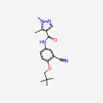 Cc1c(C(=O)Nc2ccc(OCC(C)(C)C)c(C#N)c2)cnn1C